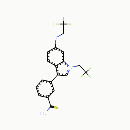 NC(=S)c1cccc(-c2cn(CC(F)(F)F)c3cc(NCC(F)(F)F)ccc23)c1